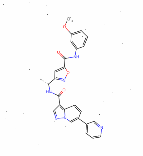 C[C@@H](NC(=O)c1cnn2cc(-c3cccnc3)ccc12)c1cc(C(=O)Nc2cccc(OC(F)(F)F)c2)on1